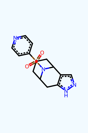 O=S(=O)(c1ccncc1)N1C2CCCC1c1cn[nH]c1C2